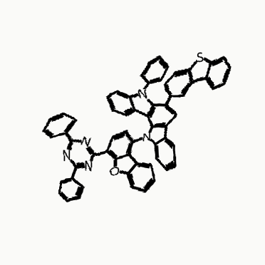 c1ccc(-c2nc(-c3ccccc3)nc(-c3ccc(-n4c5ccccc5c5cc(-c6ccc7sc8ccccc8c7c6)c6c(c7ccccc7n6-c6ccccc6)c54)c4c3oc3ccccc34)n2)cc1